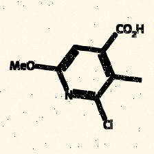 COc1cc(C(=O)O)c(C)c(Cl)n1